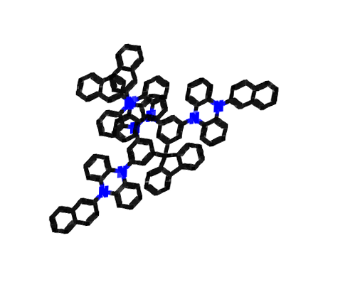 c1ccc2c(c1)-c1ccccc1C2(c1cc(N2c3ccccc3N(c3ccc4ccccc4c3)c3ccccc32)cc(N2c3ccccc3N(c3ccc4ccccc4c3)c3ccccc32)c1)c1cc(N2c3ccccc3N(c3ccc4ccccc4c3)c3ccccc32)cc(N2c3ccccc3N(c3ccc4ccccc4c3)c3ccccc32)c1